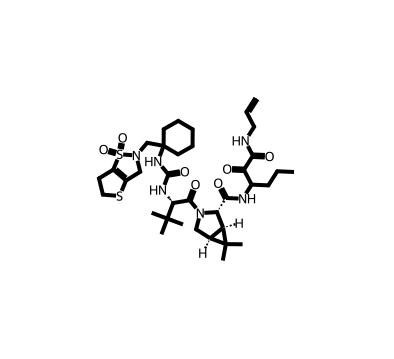 C=CCNC(=O)C(=O)C(CCC)NC(=O)[C@@H]1[C@@H]2[C@H](CN1C(=O)[C@@H](NC(=O)NC1(CN3CC4=C(CCS4)S3(=O)=O)CCCCC1)C(C)(C)C)C2(C)C